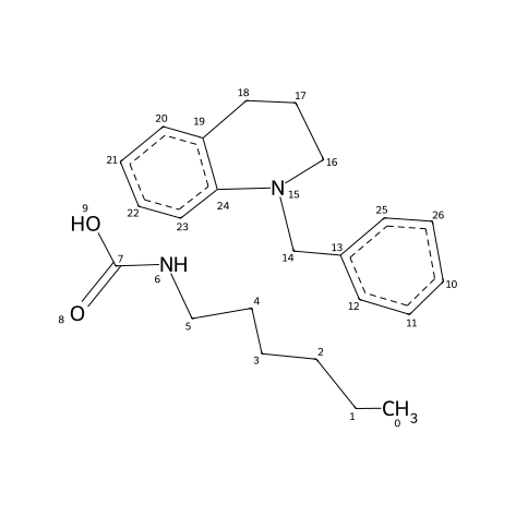 CCCCCCNC(=O)O.c1ccc(CN2CCCc3ccccc32)cc1